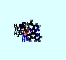 CC(=O)Nc1cc(-c2c(-c3ccccn3)c3nccc(C4CC4)c3n2COCC[Si](C)(C)C)ccn1